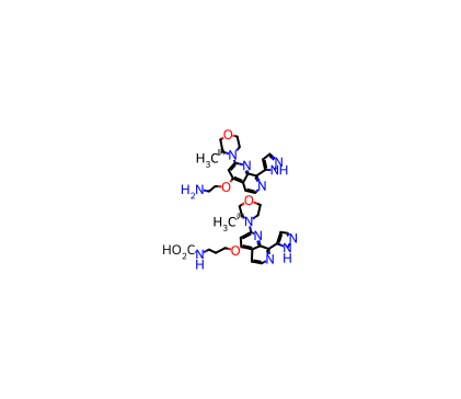 C[C@@H]1COCCN1c1cc(OCCCNC(=O)O)c2ccnc(-c3ccn[nH]3)c2n1.C[C@@H]1COCCN1c1cc(OCCN)c2ccnc(-c3ccn[nH]3)c2n1